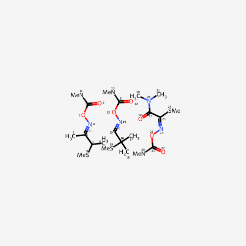 CNC(=O)O/N=C(\C)C(C)SC.CNC(=O)O/N=C/C(C)(C)SC.CNC(=O)ON=C(SC)C(=O)N(C)C